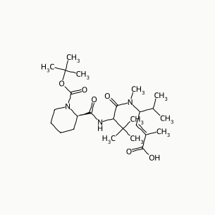 C/C(=C\C(C(C)C)N(C)C(=O)C(NC(=O)[C@H]1CCCCN1C(=O)OC(C)(C)C)C(C)(C)C)C(=O)O